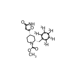 [2H]c1c([2H])c([2H])c(C[C@H]2C[C@@H](c3cc(=O)[nH]o3)CCN2C(=O)OC)c([2H])c1[2H]